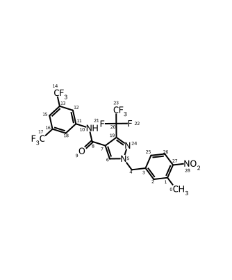 Cc1cc(Cn2cc(C(=O)Nc3cc(C(F)(F)F)cc(C(F)(F)F)c3)c(C(F)(F)C(F)(F)F)n2)ccc1[N+](=O)[O-]